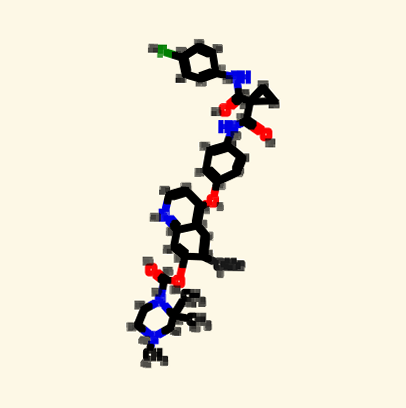 COc1cc2c(Oc3ccc(NC(=O)C4(C(=O)Nc5ccc(F)cc5)CC4)cc3)ccnc2cc1OC(=O)N1CCN(C)CC1(C)C